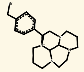 BrCc1ccc(C[N+]23CCCN4CCN5CCCN(CC2)C5C43)cc1